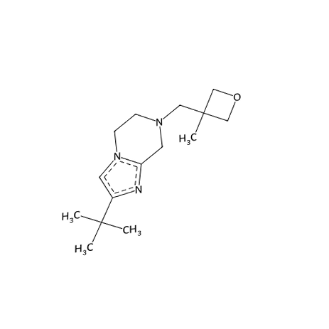 CC1(CN2CCn3cc(C(C)(C)C)nc3C2)COC1